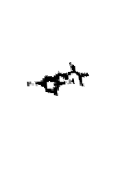 CC(C)C(=O)c1cc2cc(Br)ccc2[nH]1